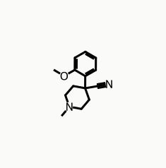 COc1ccccc1C1(C#N)CCN(C)CC1